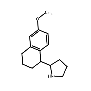 COc1ccc2c(c1)CCCC2C1CCCN1